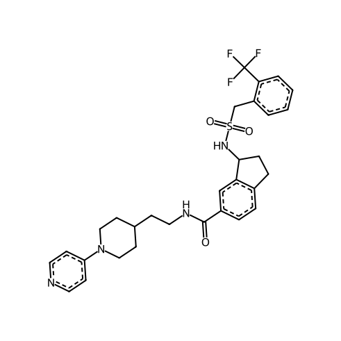 O=C(NCCC1CCN(c2ccncc2)CC1)c1ccc2c(c1)C(NS(=O)(=O)Cc1ccccc1C(F)(F)F)CC2